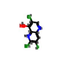 Oc1c(Cl)cnc2cc(F)c(Br)nc12